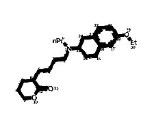 CCCN(CCCCC1CCCOC1=O)C1CCc2cc(OCC)ccc2C1